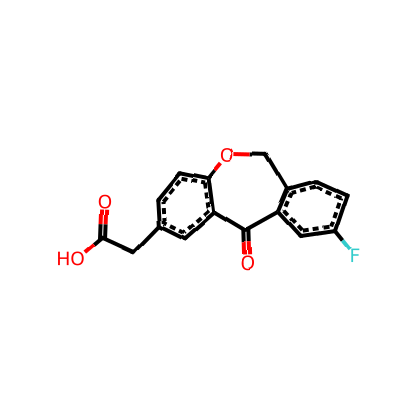 O=C(O)Cc1ccc2c(c1)C(=O)c1cc(F)ccc1CO2